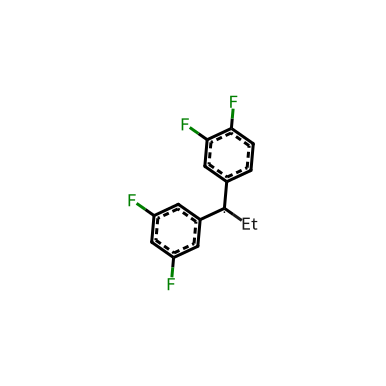 CC[C](c1cc(F)cc(F)c1)c1ccc(F)c(F)c1